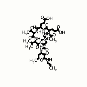 C=CCNC(=O)C(=O)C(CCC)NC(=O)[C@@H]1CS(=O)(=O)CN1C(=O)C(NC(=O)C(NC(=O)C(CCC(=O)O)NC(=O)C(CCC(=O)O)NC(C)=O)C(C)C)C(C)C